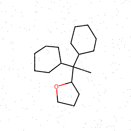 CC(C1CCCCC1)(C1CCCCC1)C1CCCO1